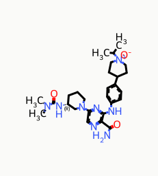 CC(C)[N+]1([O-])CCC(c2ccc(Nc3nc(N4CCC[C@@H](NC(=O)N(C)C)C4)cnc3C(N)=O)cc2)CC1